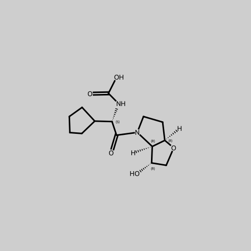 O=C(O)N[C@H](C(=O)N1CC[C@H]2OC[C@H](O)[C@H]21)C1CCCC1